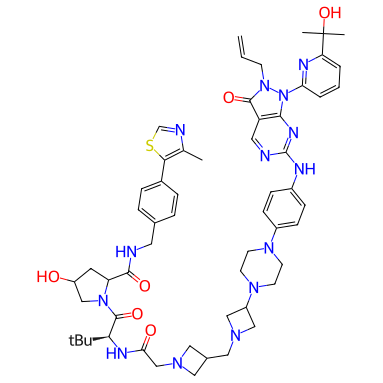 C=CCn1c(=O)c2cnc(Nc3ccc(N4CCN(C5CN(CC6CN(CC(=O)N[C@H](C(=O)N7CC(O)CC7C(=O)NCc7ccc(-c8scnc8C)cc7)C(C)(C)C)C6)C5)CC4)cc3)nc2n1-c1cccc(C(C)(C)O)n1